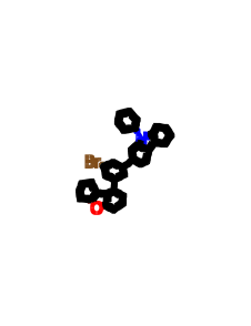 Brc1cc(-c2ccc3c4ccccc4n(-c4ccccc4)c3c2)cc(-c2cccc3oc4ccccc4c23)c1